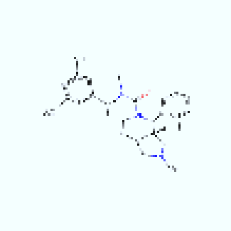 Cc1ccccc1C1[C@@H]2CN(C(C)C)CC2CCN1C(=O)N(C)C(C)c1cc(C(F)(F)F)cc(C(F)(F)F)c1